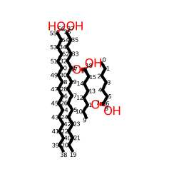 CCCCCCC(=O)O.CCCCCCCC(=O)O.CCCCCCCCCCCCCCCCCCO.CCCCCCCCCCCCCCCCCCO